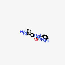 CCc1cc(NC(=O)N(C=N)Cc2ccccc2)ccc1-c1cn[nH]c1